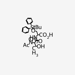 CC(=O)N(C)C(C(=O)NC(CO[Si](c1ccccc1)(c1ccccc1)C(C)(C)C)C(=O)O)C(C)O